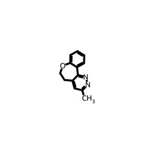 Cc1cc2c(nn1)-c1ccccc1OCC2